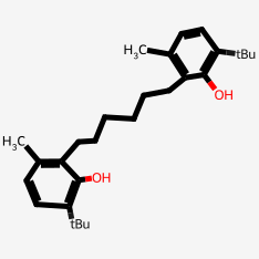 Cc1ccc(C(C)(C)C)c(O)c1CCCCCCc1c(C)ccc(C(C)(C)C)c1O